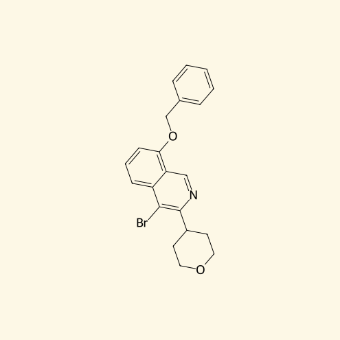 Brc1c(C2CCOCC2)ncc2c(OCc3ccccc3)cccc12